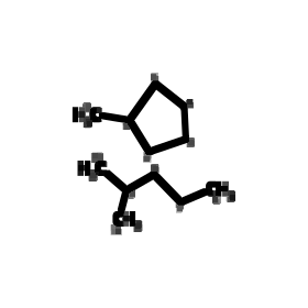 CC1CCCC1.CCCC(C)C